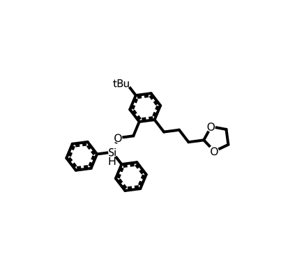 CC(C)(C)c1ccc(CCCC2OCCO2)c(CO[SiH](c2ccccc2)c2ccccc2)c1